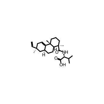 C=C[C@@]1(C)CC=C2[C@@H](CC[C@@H]3[C@](C)(C(=O)N[C@H](C(=O)O)C(C)C)CCC[C@@]23C)C1